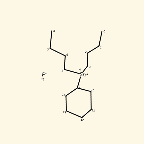 CCC[CH2][Sn+]([CH2]CCC)[CH]1CCCCC1.[F-]